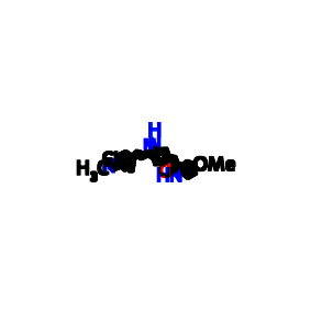 COc1ccc2c(c1)C(=Cc1ccc3c(C=Cc4ccc(CN(C)C)cc4)n[nH]c3c1)C(=O)N2